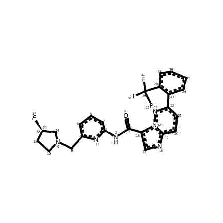 O=C(Nc1cccc(CN2CC[C@@H](F)C2)n1)c1cnc2ccc(-c3ccccc3C(F)(F)F)nn12